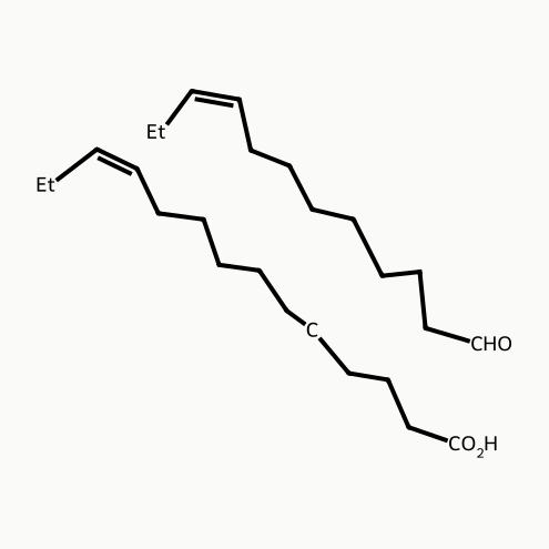 CC/C=C\CCCCCCCC=O.CC/C=C\CCCCCCCCCC(=O)O